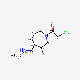 CC1CN(C(=O)CCl)CCCC1CNC(=O)O